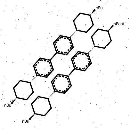 CCCCC[C@H]1CC[C@H](c2ccc(-c3ccc([C@H]4CC[C@H](CCCC)CC4)cc3)cc2)CC1.CCCC[C@H]1CC[C@H](c2ccc(-c3ccc([C@H]4CC[C@H](CCCC)CC4)cc3)cc2)CC1